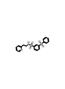 O=S(=O)(NCCc1ccccn1)c1cccc(S(=O)(=O)c2ccccc2)c1